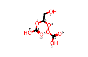 O=C(O)OOC(CO)OC(=O)O